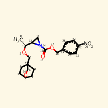 C[C@@H](OCC12CCC(CC1)OC2)C1CN1C(=O)OCc1ccc([N+](=O)[O-])cc1